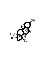 CC[C@H]1C[C@H](O)[C@@]2(C)CC[C@H]3[C@@H](CC=C4C[C@@H](O)CC[C@@]43C)[C@H]12